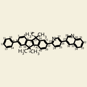 CC1(C)C2=C(c3ccc(-c4ccccc4)cc31)C(C)(C)c1cc(-c3ccc(-c4cnc5ccccc5c4)cn3)ccc12